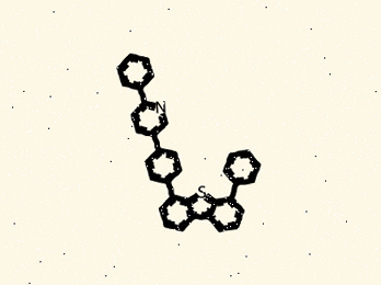 c1ccc(-c2ccc(-c3ccc(-c4cccc5c4sc4c(-c6ccccc6)cccc45)cc3)cn2)cc1